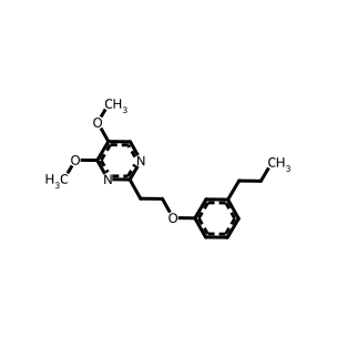 CCCc1cccc(OCCc2ncc(OC)c(OC)n2)c1